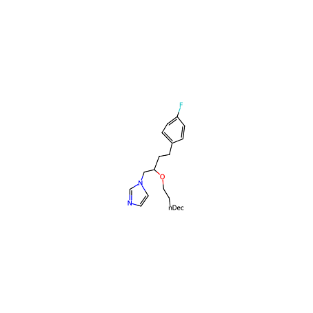 CCCCCCCCCCCCOC(CCc1ccc(F)cc1)Cn1ccnc1